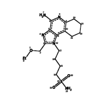 CCOCc1nc2c(N)nc3c(c2n1CCCCS(N)(=O)=O)CCCC3